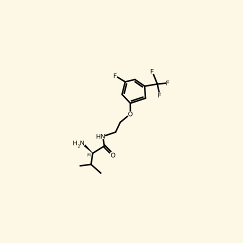 CC(C)[C@@H](N)C(=O)NCCOc1cc(F)cc(C(F)(F)F)c1